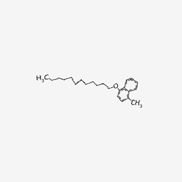 CCCCCCCCCCCCOc1ccc(C)c2ccccc12